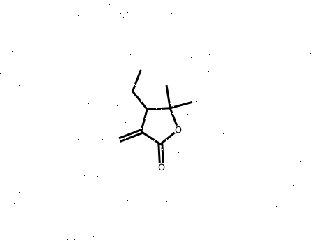 C=C1C(=O)OC(C)(C)C1CC